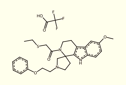 CCSCC(=O)N1CCc2c([nH]c3ccc(OC)cc23)C12CCN(CCOc1ccccc1)C2.O=C(O)C(F)(F)F